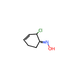 ON=C1CCC=CC1Cl